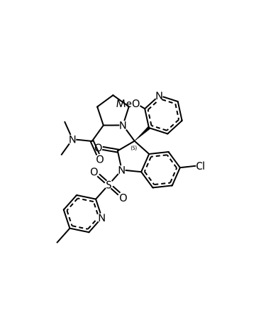 COc1ncccc1[C@]1(N2CCCC2C(=O)N(C)C)C(=O)N(S(=O)(=O)c2ccc(C)cn2)c2ccc(Cl)cc21